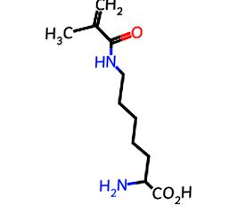 C=C(C)C(=O)NCCCCCC(N)C(=O)O